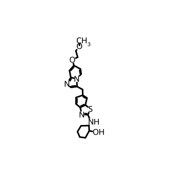 COCCOc1ccn2c(Cc3ccc4nc(NC5CCCCC5O)sc4c3)cnc2c1